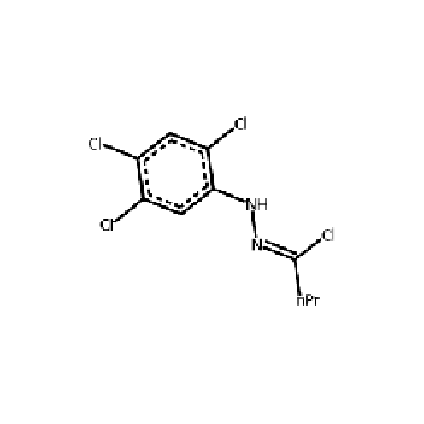 CCCC(Cl)=NNc1cc(Cl)c(Cl)cc1Cl